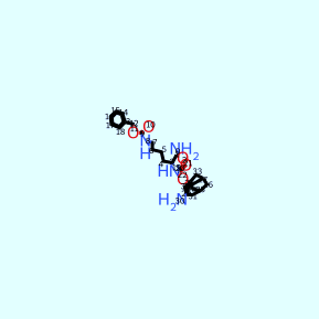 NC(=O)C(CCCCNC(=O)OCc1ccccc1)NC(=O)OC12CC3CC(CC(N)(C3)C1)C2